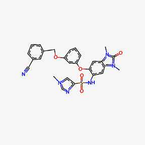 Cn1cnc(S(=O)(=O)Nc2cc3c(cc2Oc2cccc(OCc4cccc(C#N)c4)c2)n(C)c(=O)n3C)c1